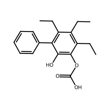 CCc1c(CC)c(OC(=O)O)c(O)c(-c2ccccc2)c1CC